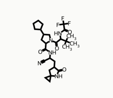 CC(C)(C)C(NC(=O)C(F)(F)F)C(=O)N1CC(C2CCCC2)CC1C(=O)NC(C#N)CC1CC2(CC2)NC1=O